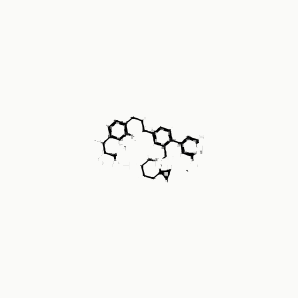 COc1cc(-c2ccc(C3CCc4ccc([C@H](C)[C@H](C)C(=O)O)cc4O3)cc2CN2CCCCC23CC3)ccn1